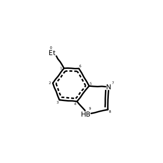 CCc1ccc2c(c1)N=CB2